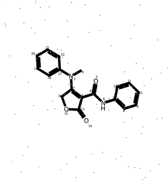 CN(C1=C(C(=O)Nc2ccccc2)C(=O)OC1)c1ccccc1